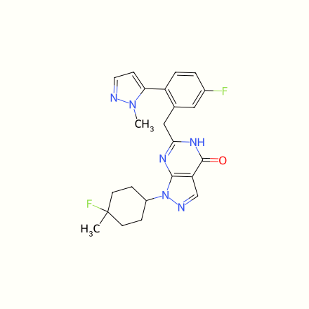 Cn1nccc1-c1ccc(F)cc1Cc1nc2c(cnn2C2CCC(C)(F)CC2)c(=O)[nH]1